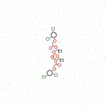 CCC(OC(=O)COc1ccc(Cl)cc1Cl)O[PH](=O)OC(CC)OC(=O)COc1ccc(Cl)cc1Cl